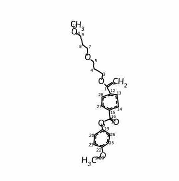 C=C(OCCCOCCCOC)c1ccc(C(=O)Oc2ccc(OC)cc2)cc1